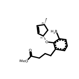 Bc1cccc(CCCC(=O)OC)c1O[C@@H]1C=C[C@H](C)C1